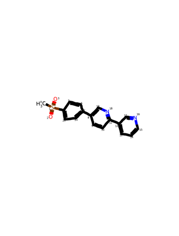 CS(=O)(=O)c1ccc(-c2ccc(-c3cccnc3)nc2)cc1